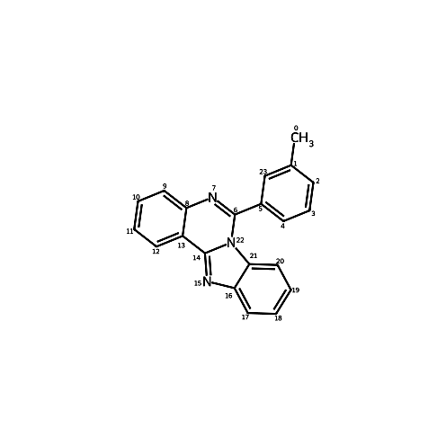 Cc1cccc(-c2nc3ccccc3c3nc4ccccc4n23)c1